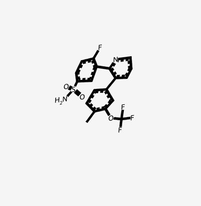 Cc1ccc(-c2cccnc2-c2cc(S(N)(=O)=O)ccc2F)cc1OC(F)(F)F